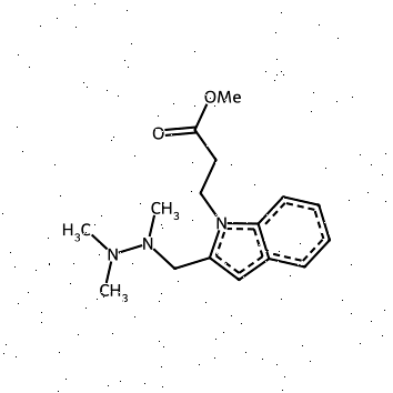 COC(=O)CCn1c(CN(C)N(C)C)cc2ccccc21